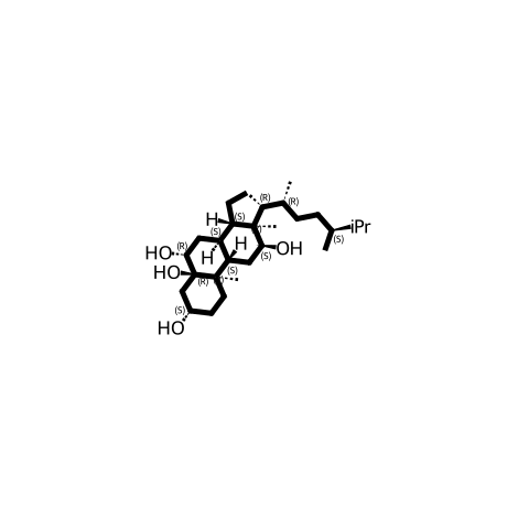 CC(C)[C@@H](C)CC[C@@H](C)[C@H]1CC[C@H]2[C@@H]3C[C@@H](O)[C@@]4(O)C[C@@H](O)CC[C@]4(C)[C@H]3C[C@H](O)[C@]12C